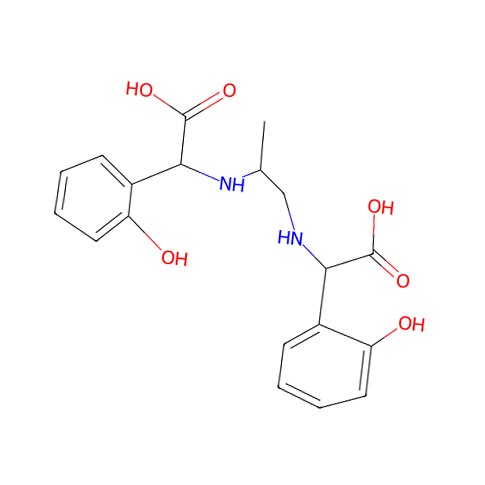 CC(CNC(C(=O)O)c1ccccc1O)NC(C(=O)O)c1ccccc1O